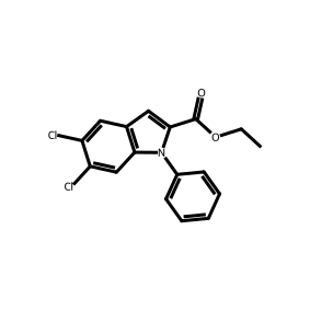 CCOC(=O)c1cc2cc(Cl)c(Cl)cc2n1-c1ccccc1